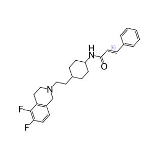 O=C(/C=C/c1ccccc1)NC1CCC(CCN2CCc3c(ccc(F)c3F)C2)CC1